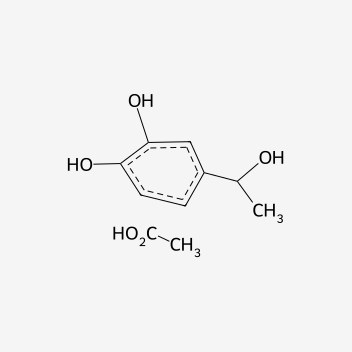 CC(=O)O.CC(O)c1ccc(O)c(O)c1